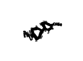 COc1ccc(-c2ccc(OC(C)C)cc2)cc1